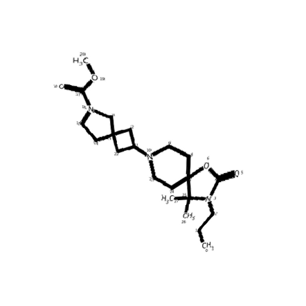 CCCN1C(=O)OC2(CCN(C3CC4(CCN(C(=O)OC)C4)C3)CC2)C1(C)C